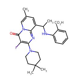 Cc1cc(C(C)Nc2ccccc2C(=O)O)c2nc(N3CCC(C)(C)CC3)c(I)c(=O)n2c1